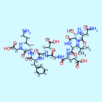 CC(C)C[C@H](NC(=O)[C@H](CO)NC(=O)[C@@H](N)CC(N)=O)C(=O)N[C@@H](CCC(=O)O)C(=O)NCC(=O)N[C@@H](CCC(=O)O)C(=O)N[C@@H](Cc1ccccc1)C(=O)N[C@@H](CCCCN)C(=O)NCC(=O)O